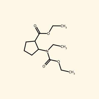 CCOC(=O)C1CCCC1N(CC)C(=O)OCC